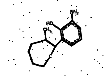 CC1CCCCCC1c1cccc(N)c1O